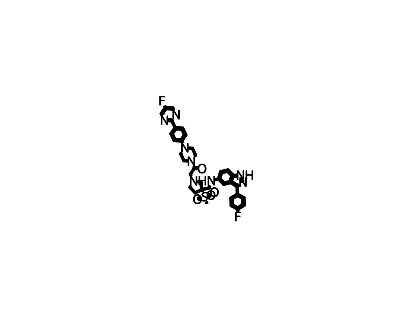 CS(=O)(=O)C1(C(=O)Nc2ccc3[nH]nc(-c4ccc(F)cc4)c3c2)CCN(CC(=O)N2CCN(c3ccc(-c4ncc(F)cn4)cc3)CC2)C1